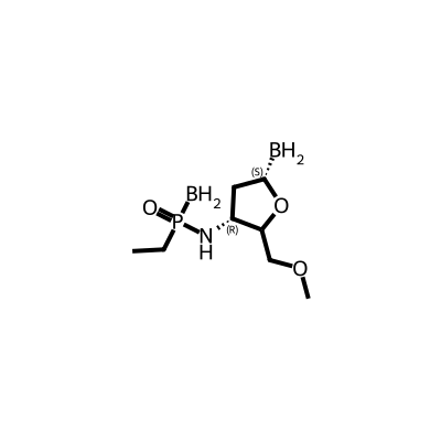 B[C@H]1C[C@@H](NP(B)(=O)CC)C(COC)O1